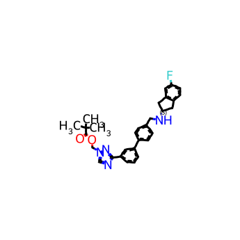 CC(C)(C)C(=O)OCn1cnc(-c2cccc(-c3ccc(CN[C@H]4Cc5ccc(F)cc5C4)cc3)c2)n1